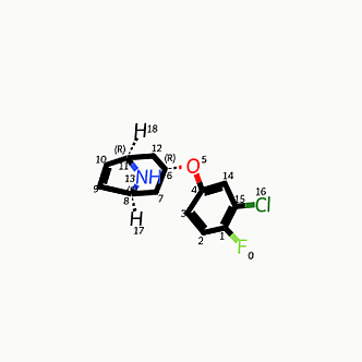 Fc1ccc(O[C@@H]2C[C@H]3C=C[C@@H](C2)N3)cc1Cl